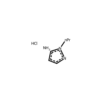 CCCn1cccn1.Cl.N